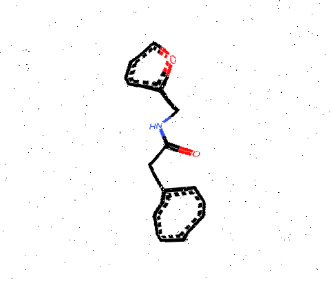 O=C(Cc1cc[c]cc1)NCc1ccco1